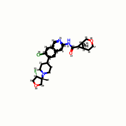 C[C@@]1(N2CCC(c3cc4cc(NC(=O)C5[C@H]6CCOC[C@H]56)ncc4cc3Cl)CC2)COC[C@@H]1F